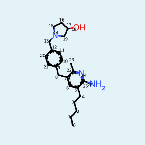 CCCCCc1cc(Cc2ccc(CN3CCC(O)C3)cc2)c(C)nc1N